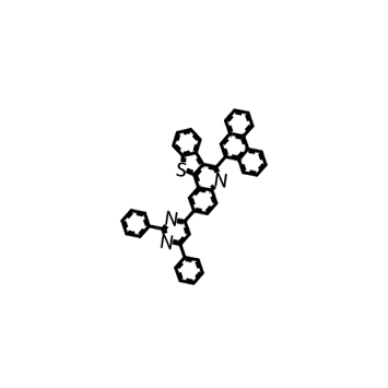 c1ccc(-c2cc(-c3ccc4nc(-c5cc6ccccc6c6ccccc56)c5c6ccccc6sc5c4c3)nc(-c3ccccc3)n2)cc1